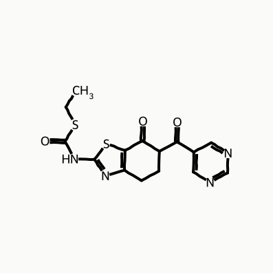 CCSC(=O)Nc1nc2c(s1)C(=O)C(C(=O)c1cncnc1)CC2